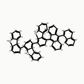 c1ccc2c(-c3c4ccccc4c(-c4ccc(-c5ccc(-c6cccc7oc8ccccc8c67)c6oc7ccccc7c56)c5oc6ccccc6c45)c4ccccc34)cccc2c1